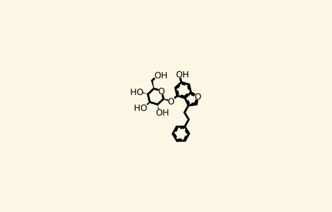 OC[C@H]1O[C@@H](Oc2cc(O)cc3occ(CCc4ccccc4)c23)[C@H](O)[C@@H](O)[C@@H]1O